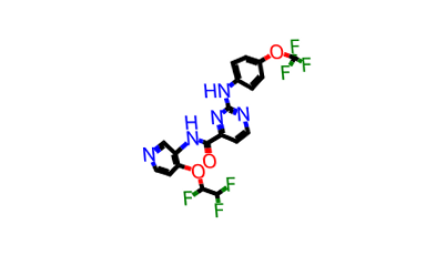 O=C(Nc1cnccc1OC(F)C(F)F)c1ccnc(Nc2ccc(OC(F)(F)F)cc2)n1